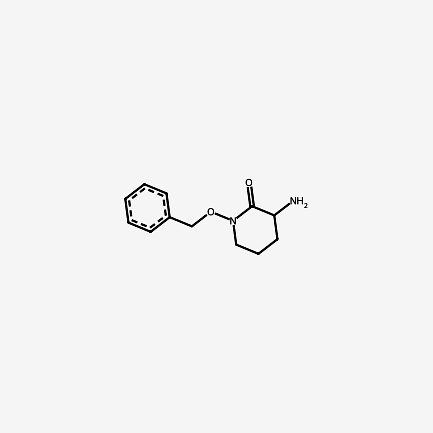 NC1CCCN(OCc2ccccc2)C1=O